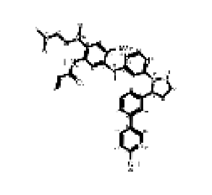 C=CC(=O)Nc1cc(Nc2cc(N3OCCC3c3cccc(-c4ccc(O)nc4)c3)ncn2)c(OC)cc1N(C)CCN(C)C